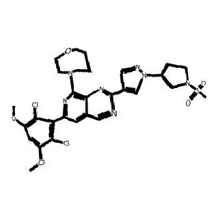 COc1cc(OC)c(Cl)c(-c2cc3cnc(-c4cnn(C5CCN(S(C)(=O)=O)C5)c4)nc3c(N3CCOCC3)n2)c1Cl